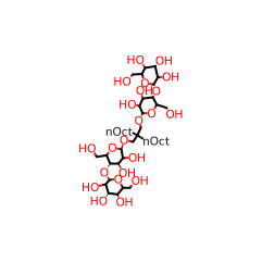 CCCCCCCCC(CCCCCCCC)(CO[C@@H]1OC(CO)[C@@H](O[C@H]2OC(CO)[C@@H](O)[C@H](O)C2O)[C@H](O)C1O)CO[C@@H]1OC(CO)[C@@H](O[C@@H]2OC(CO)[C@@H](O)[C@H](O)C2O)[C@H](O)C1O